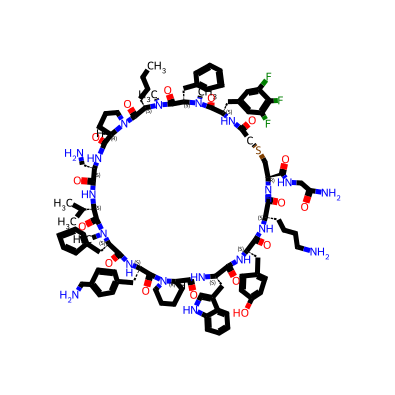 CCCC[C@H]1C(=O)N2CCC[C@@H]2C(=O)N[C@@H](CN)C(=O)N[C@@H](C(C)C)C(=O)N(C)[C@@H](Cc2ccccc2)C(=O)N[C@@H](Cc2ccc(CN)cc2)C(=O)N2CCCC[C@@H]2C(=O)N[C@@H](Cc2c[nH]c3ccccc23)C(=O)N[C@@H](Cc2ccc(O)cc2)C(=O)N[C@@H](CCCCN)C(=O)N[C@H](C(=O)NCC(N)=O)CSCC(=O)N[C@@H](Cc2cc(F)c(F)c(F)c2)C(=O)N(C)[C@@H](Cc2ccccc2)C(=O)N1C